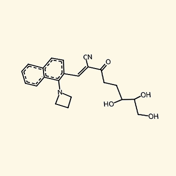 N#C/C(=C\c1ccc2ccccc2c1N1CCC1)C(=O)CCC(O)C(O)CO